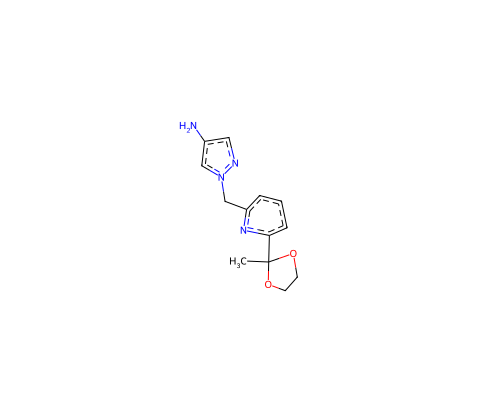 CC1(c2cccc(Cn3cc(N)cn3)n2)OCCO1